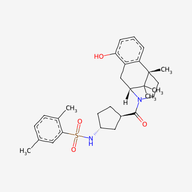 Cc1ccc(C)c(S(=O)(=O)N[C@@H]2CC[C@@H](C(=O)N3CC[C@@]4(C)c5cccc(O)c5C[C@@H]3C4(C)C)C2)c1